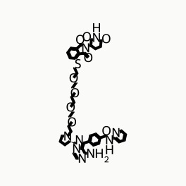 Nc1nccn2c([C@@H]3CCCN3CCOCCOCCOCCOCCSc3cccc4c3C(=O)N(C3CCC(=O)NC3=O)C4=O)nc(-c3ccc(C(=O)Nc4ccccn4)cc3)c12